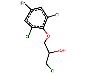 CC(C)c1cc(Cl)c(OCC(O)CCl)c(Cl)c1